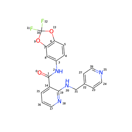 O=C(Nc1ccc2c(c1)OC(F)(F)O2)c1cccnc1NCc1ccncc1